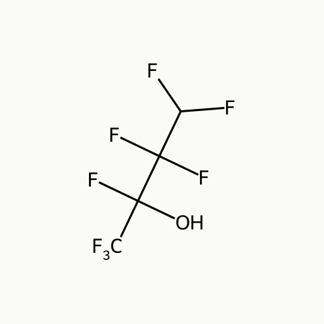 OC(F)(C(F)(F)F)C(F)(F)C(F)F